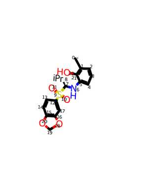 [CH2]c1cccc(N[C@H](C(C)C)S(=O)(=O)c2ccc3c(c2)OCO3)c1O